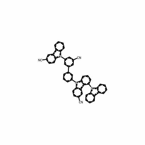 N#Cc1cc(-c2cccc(-n3c4ccc(C#N)cc4c4c(-n5c6ccccc6c6ccccc65)cccc43)c2)cc(-n2c3ccccc3c3cc(C#N)ccc32)c1